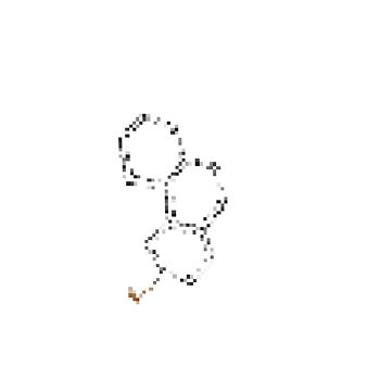 Brc1ccc2ccc3ccccc3c2c1